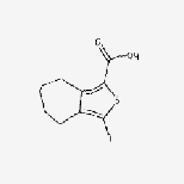 O=C(O)c1sc(I)c2c1CCCC2